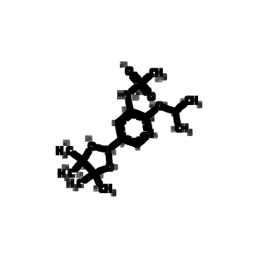 CC(C)Oc1ncc(B2OC(C)(C)C(C)(C)O2)cc1NS(C)(=O)=O